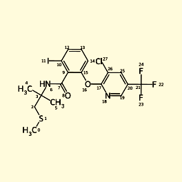 CSCC(C)(C)NC(=O)c1c(I)cccc1Oc1ncc(C(F)(F)F)cc1Cl